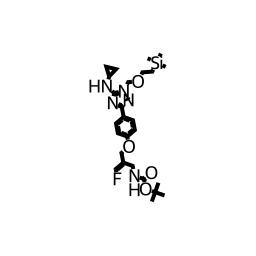 CC(C)(C)OC(=O)NC/C(=C\F)COc1ccc(-c2nc(NC3CC3)n(COCC[Si](C)(C)C)n2)cc1